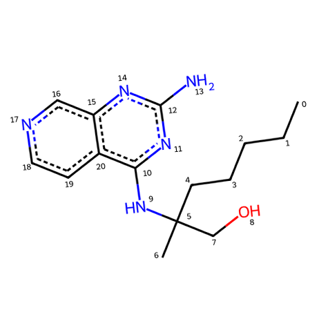 CCCCCC(C)(CO)Nc1nc(N)nc2cnccc12